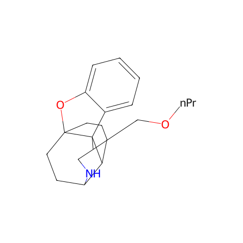 CCCOCC1CNC2CCC34CCCC2C13c1ccccc1O4